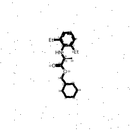 CCc1cccc(CC)c1N[C@@H](C)C(=O)OCC1CCCCC1